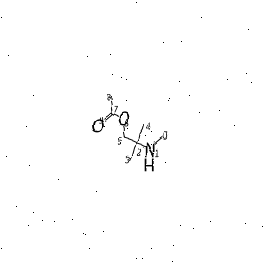 CNC(C)(C)COC(C)=O